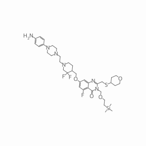 C[Si](C)(C)CCOCn1c(CSC2CCOCC2)nc2cc(OCC3CCN(CCN4CCN(c5ccc(N)cc5)CC4)CC3(F)F)cc(F)c2c1=O